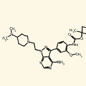 COc1cc(-c2nn(CCN3CCC(N(C)C)CC3)c3ncnc(N)c23)ccc1NC(=O)OC1(C)COC1